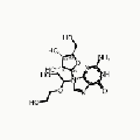 Nc1nc2c(c(=O)[nH]1)N=C[N+]2(C(CO)OCCO)[C@@H]1O[C@H](CO)[C@@H](O)[C@H]1O